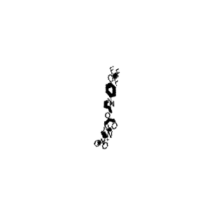 O=[N+]([O-])c1cn2c(n1)OC[C@@H](OCc1ccn(-c3ccc(OC(F)(F)F)cc3)n1)C2